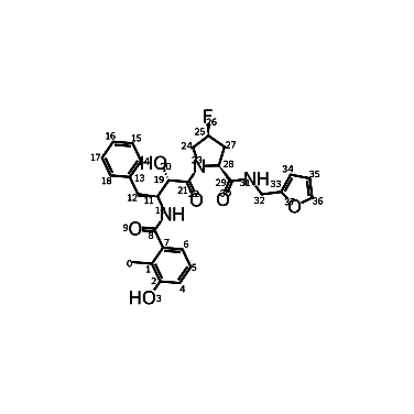 Cc1c(O)cccc1C(=O)N[C@@H](Cc1ccccc1)[C@H](O)C(=O)N1C[C@@H](F)C[C@H]1C(=O)NCc1ccco1